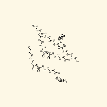 CCCCCCCC(=O)OC(=O)CCCCCCC.CCCCCCCC(=O)OC(=O)CCCCCCC.CCCCCCCCCCCC(=O)OC(=O)CCCCCCC.[Co].[KH].[Mn].[Mn].[SnH2].[Zn]